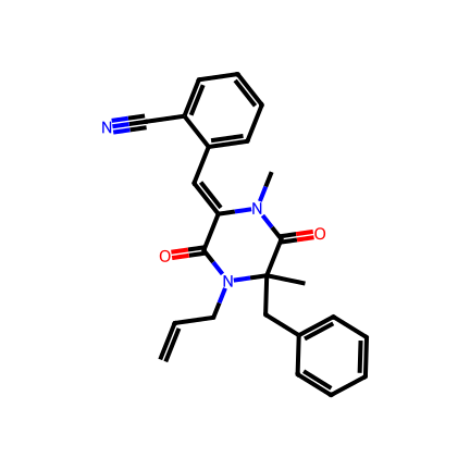 C=CCN1C(=O)C(=Cc2ccccc2C#N)N(C)C(=O)C1(C)Cc1ccccc1